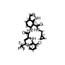 C=C(/C=C(\Nc1ncccc1Cl)C(=O)Nc1ccc2cn[nH]c2c1C(=O)NCC1CC1)C(F)(F)F